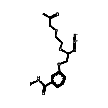 CC(=O)COCCOC(COc1cccc(C(=O)NI)c1)N=[N+]=[N-]